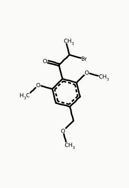 COCc1cc(OC)c(C(=O)C(C)Br)c(OC)c1